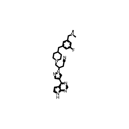 CN(C)Cc1cc(F)cc(CC2CCN(CC(CC#N)n3cc(-c4ncnc5[nH]ccc45)cn3)CC2)c1